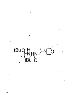 CC[C@H](C)C(NC(=O)OC(C)(C)C)C(=O)NCC(C)N1CCOCC1